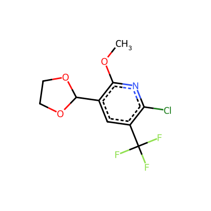 COc1nc(Cl)c(C(F)(F)F)cc1C1OCCO1